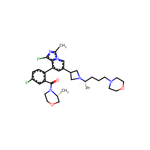 Cc1nc(F)c2c(-c3ccc(F)cc3C(=O)N3CCOC[C@H]3C)cc(C3CN([C@H](CCCN4CCOCC4)C(C)C)C3)cn12